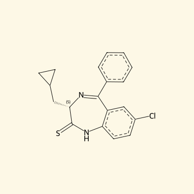 S=C1Nc2ccc(Cl)cc2C(c2ccccc2)=N[C@H]1CC1CC1